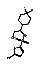 O=S(=O)(NC(CO)C1CCC(F)(F)CC1)c1ccc(Cl)s1